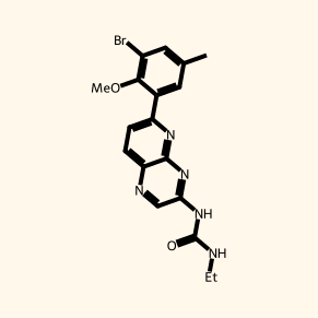 CCNC(=O)Nc1cnc2ccc(-c3cc(C)cc(Br)c3OC)nc2n1